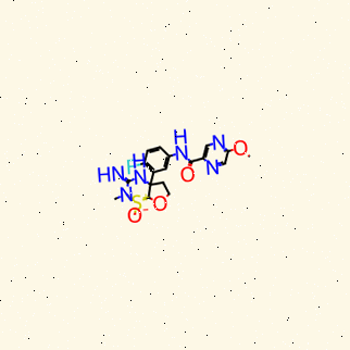 COc1cnc(C(=O)Nc2ccc(F)c(C34CCOC3[S+]([O-])N(C)C(=N)N4)c2)cn1